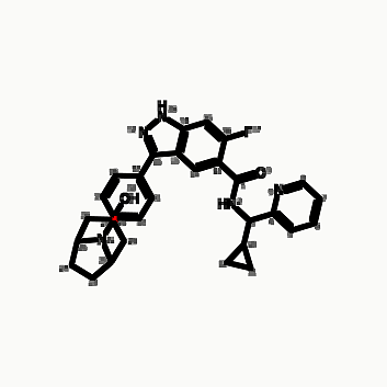 O=C(NC(c1ccccn1)C1CC1)c1cc2c(-c3ccc(N4C5CCC4CC(O)C5)cc3)n[nH]c2cc1F